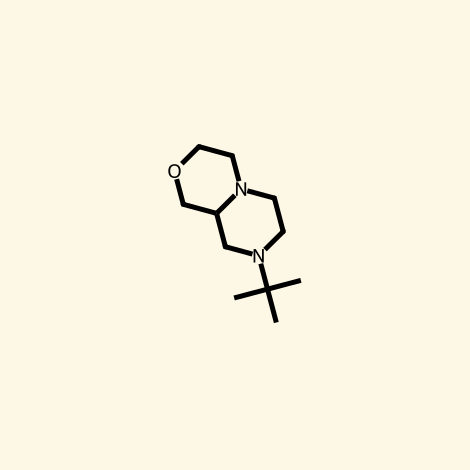 CC(C)(C)N1CCN2CCOCC2C1